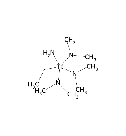 C[CH2][Ta]([NH2])([N](C)C)([N](C)C)[N](C)C